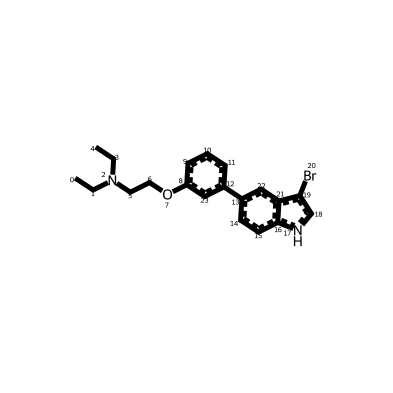 CCN(CC)CCOc1cccc(-c2ccc3[nH]cc(Br)c3c2)c1